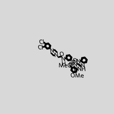 COc1cc(Nc2nc3ccccc3nc2NS(=O)(=O)c2cccc(NC(=O)CN3CCN(c4ccc(Cl)c(Cl)c4)CC3)c2)cc(OC)c1